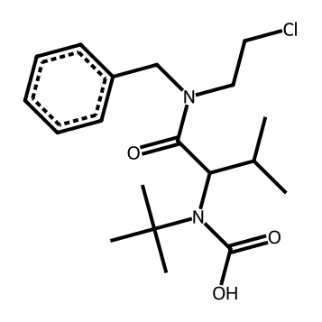 CC(C)C(C(=O)N(CCCl)Cc1ccccc1)N(C(=O)O)C(C)(C)C